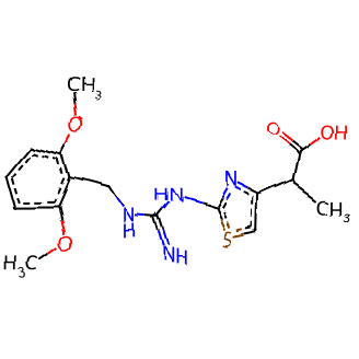 COc1cccc(OC)c1CNC(=N)Nc1nc(C(C)C(=O)O)cs1